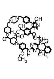 CCOc1cc(N2CCC(C(=O)N3CCC(CN4CCN(Cc5ccc(-n6c(O)nnc6-c6cc(C(C)C)c(O)cc6OC)cc5)CC4)CC3)CC2)ccc1Nc1ncc2c(n1)N(C)c1ccccc1C(=O)N2C